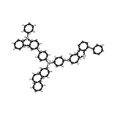 c1ccc(-c2cccc3c2oc2ccc(-c4ccc(N(c5ccc(-c6ccc7c(c6)c6ccccc6n7-c6ccccc6)cc5)c5ccc6c(ccc7ccccc76)c5)cc4)cc23)cc1